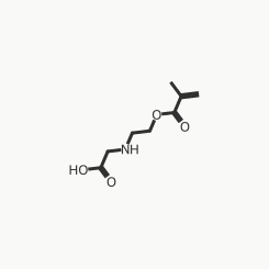 C=C(C)C(=O)OCCNCC(=O)O